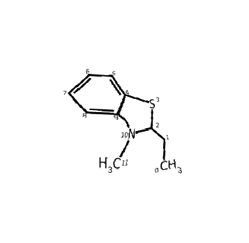 CCC1Sc2ccccc2N1C